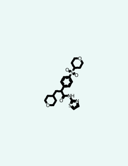 O=C(Nc1nccs1)C(CC1CCOCC1)c1ccc(S(=O)(=O)C2CCOCC2)cc1